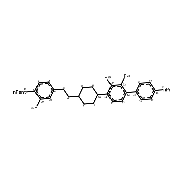 CCCCCc1ccc(CCC2CCC(c3ccc(-c4ccc(CCC)cc4)c(F)c3F)CC2)cc1F